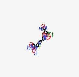 COc1cc(-c2cn(C)c(=O)c3cnccc23)cc(Cl)c1C(=O)N1CCC(C2CCN(c3ccc(NC4CCC(=O)NC4=O)cc3F)CC2)CC1